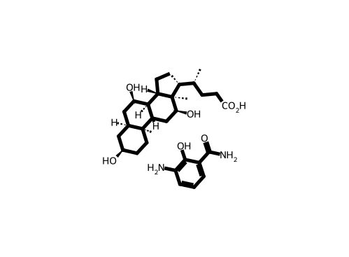 C[C@H](CCC(=O)O)[C@H]1CC[C@H]2[C@@H]3[C@H](O)C[C@@H]4C[C@H](O)CC[C@]4(C)[C@H]3C[C@H](O)[C@]12C.NC(=O)c1cccc(N)c1O